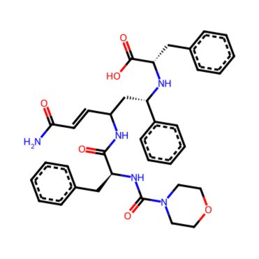 NC(=O)/C=C/C(C[C@H](N[C@@H](Cc1ccccc1)C(=O)O)c1ccccc1)NC(=O)[C@H](Cc1ccccc1)NC(=O)N1CCOCC1